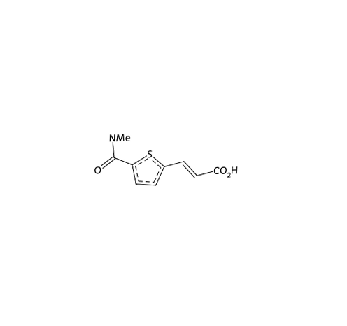 CNC(=O)c1ccc(/C=C/C(=O)O)s1